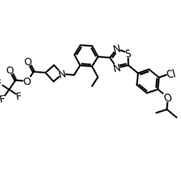 CCc1c(CN2CC(C(=O)OC(=O)C(F)(F)F)C2)cccc1-c1nsc(-c2ccc(OC(C)C)c(Cl)c2)n1